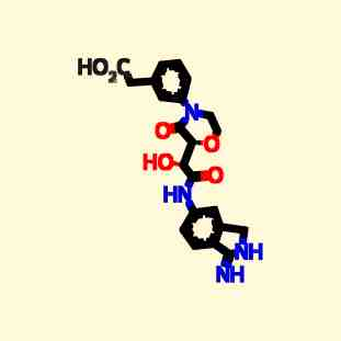 N=C1NCc2cc(NC(=O)[C@H](O)[C@H]3OCCN(c4cccc(CC(=O)O)c4)C3=O)ccc21